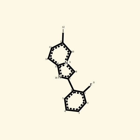 Fc1ccccc1-c1cn2cc(I)ccc2n1